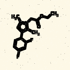 CCOC(=O)Cn1c(C)cc(C2C=CC(F)=CC2F)c1C